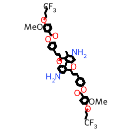 COc1cc(C(=O)Oc2ccc(C=CC(=O)c3cc(N)ccc3-c3ccc(N)c(C)c3C(=O)C=Cc3ccc(OC(=O)c4ccc(OCCCC(F)(F)F)c(OC)c4)cc3)cc2)ccc1OCCCC(F)(F)F